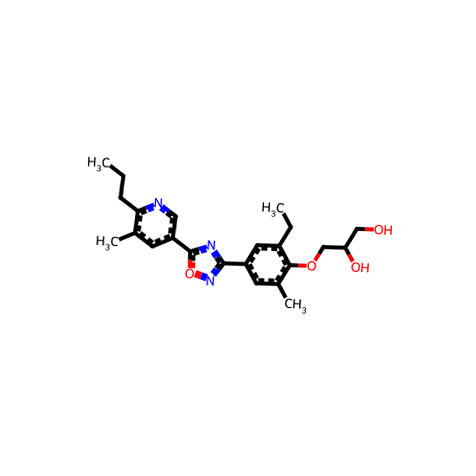 CCCc1ncc(-c2nc(-c3cc(C)c(OCC(O)CO)c(CC)c3)no2)cc1C